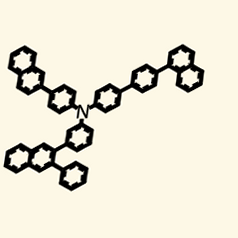 c1ccc(-c2cc3ccccc3cc2-c2cccc(N(c3ccc(-c4ccc(-c5cccc6ccccc56)cc4)cc3)c3ccc(-c4ccc5ccccc5c4)cc3)c2)cc1